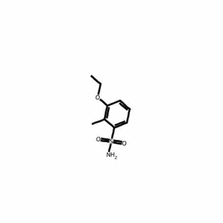 CCOc1cccc(S(N)(=O)=O)c1C